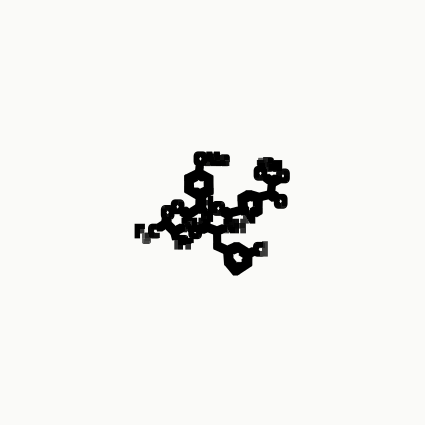 COc1ccc(C(NC(=O)C(Cc2cccc(Cl)c2)NC(=O)c2ccc(C(=O)C(=O)OC(C)(C)C)cn2)C(=O)NC(C(=O)C(F)(F)F)C(C)C)cc1